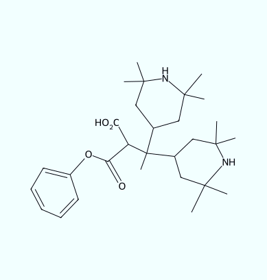 CC1(C)CC(C(C)(C2CC(C)(C)NC(C)(C)C2)C(C(=O)O)C(=O)Oc2ccccc2)CC(C)(C)N1